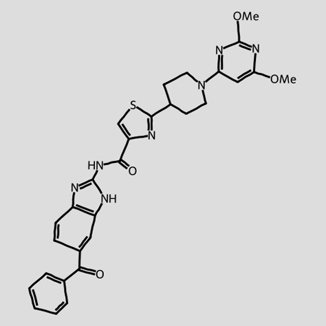 COc1cc(N2CCC(c3nc(C(=O)Nc4nc5ccc(C(=O)c6ccccc6)cc5[nH]4)cs3)CC2)nc(OC)n1